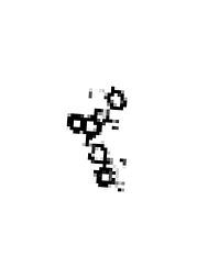 N#CC1(c2cccc(Cl)n2)CCN(Cc2cc3c(c4ccccc24)CN([C@H]2CCCC[C@@H]2O)C3=O)CC1